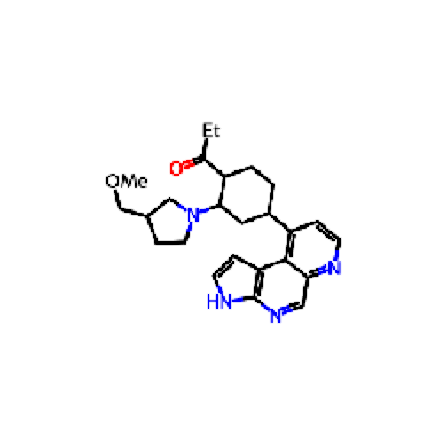 CCC(=O)C1CCC(c2ccnc3cnc4[nH]ccc4c23)CC1N1CCC(COC)C1